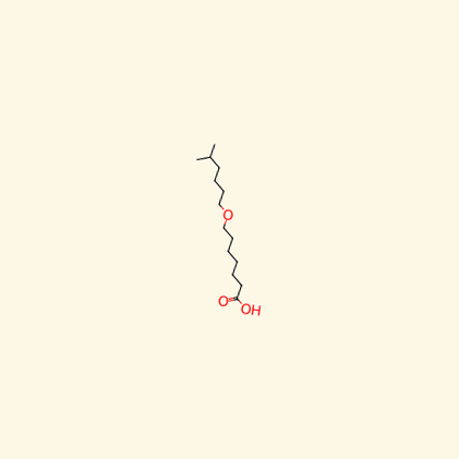 CC(C)CCCCOCCCCCCC(=O)O